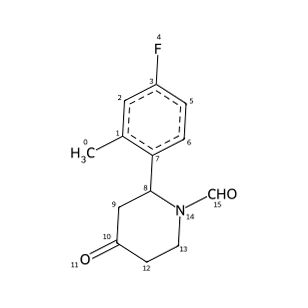 Cc1cc(F)ccc1C1CC(=O)CCN1C=O